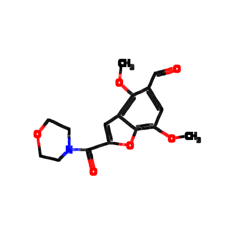 COc1c(C=O)cc(OC)c2oc(C(=O)N3CCOCC3)cc12